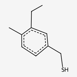 CCc1cc(CS)ccc1C